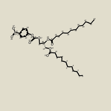 CCCCCCCCCCCC(=O)OC[C@H](COC(=O)Oc1ccc([N+](=O)[O-])cc1)OC(=O)CCCCCCCCCCC